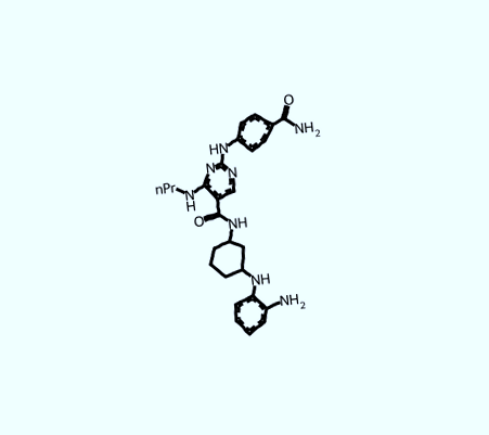 CCCNc1nc(Nc2ccc(C(N)=O)cc2)ncc1C(=O)NC1CCCC(Nc2ccccc2N)C1